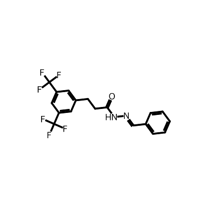 O=C(CCc1cc(C(F)(F)F)cc(C(F)(F)F)c1)N/N=C/c1ccccc1